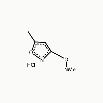 CNOc1cc(C)on1.Cl